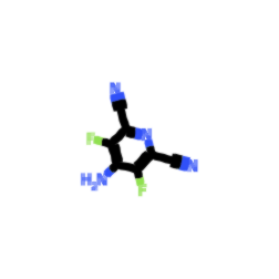 N#Cc1nc(C#N)c(F)c(N)c1F